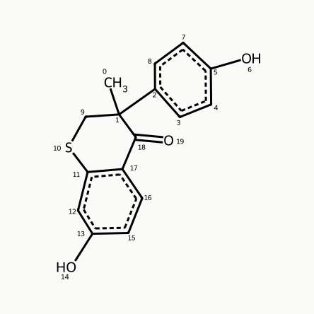 CC1(c2ccc(O)cc2)CSc2cc(O)ccc2C1=O